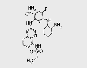 CCS(=O)(=O)Nc1cccc2cc(Nc3nc(NC4CCCCC4N)c(F)cc3C(N)=O)cnc12